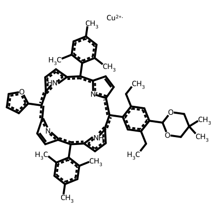 CCc1cc(C2OCC(C)(C)CO2)c(CC)cc1-c1c2nc(c(-c3c(C)cc(C)cc3C)c3ccc([nH]3)c(-c3ccco3)c3nc(c(-c4c(C)cc(C)cc4C)c4ccc1[nH]4)C=C3)C=C2.[Cu+2]